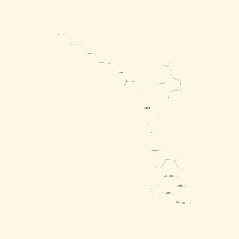 CCCCCCCCCCCC(=O)OCC(Cn1c([N+](=O)[O-])cnc1C)OC(=O)OCN1CCN(c2cc3c(cc2F)c(=O)c(C(=O)O)c2n3C(C)S2)CC1